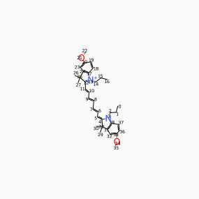 CCCN1C(=CC=CC=CC=CC2=[N+](CCC)c3ccc(OC)cc3C2(C)C)C(C)(C)c2cc(OC)ccc21